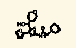 O=C(CN1CC=CCC1)Nc1nc(-c2ccco2)c(C(O)C2CCOCC2)s1